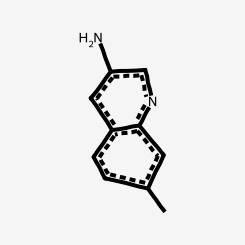 Cc1ccc2cc(N)cnc2c1